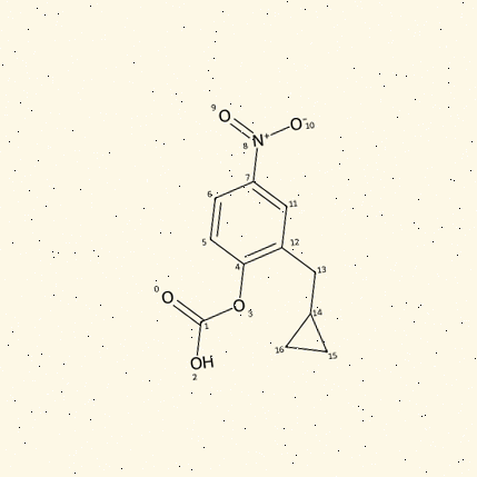 O=C(O)Oc1ccc([N+](=O)[O-])cc1CC1CC1